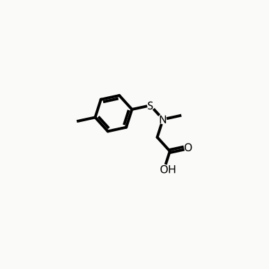 Cc1ccc(SN(C)CC(=O)O)cc1